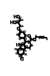 CC#CCOC(=O)N1CCc2c([nH]c3ccc(Cl)cc23)C1c1ccc(OCC(O)CO)cc1